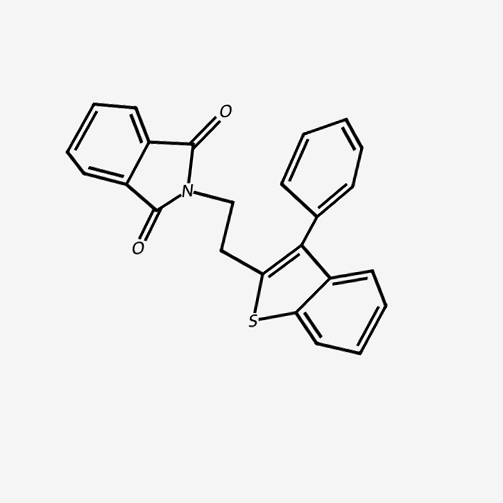 O=C1c2ccccc2C(=O)N1CCc1sc2ccccc2c1-c1ccccc1